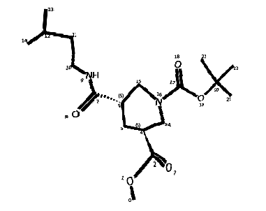 COC(=O)[C@H]1C[C@H](C(=O)NCCC(C)C)CN(C(=O)OC(C)(C)C)C1